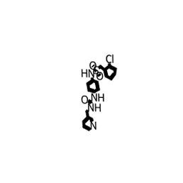 O=C(NCc1cccnc1)Nc1ccc(NS(=O)(=O)Cc2ccccc2Cl)cc1